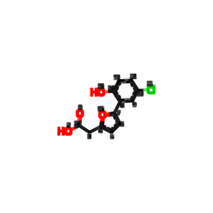 O=C(O)Cc1ccc(-c2cc(Cl)ccc2O)o1